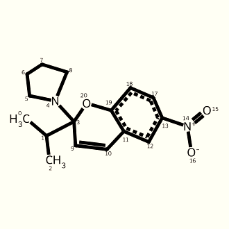 CC(C)C1(N2CCCC2)C=Cc2cc([N+](=O)[O-])ccc2O1